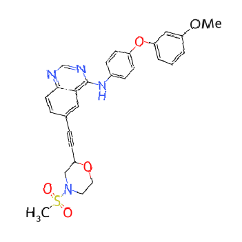 COc1cccc(Oc2ccc(Nc3ncnc4ccc(C#CC5CN(S(C)(=O)=O)CCO5)cc34)cc2)c1